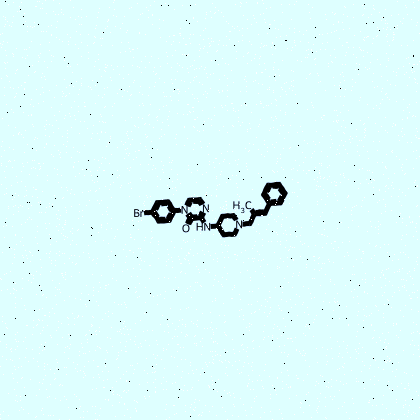 C/C(=C\c1ccccc1)CN1CCC(Nc2nccn(-c3ccc(Br)cc3)c2=O)CC1